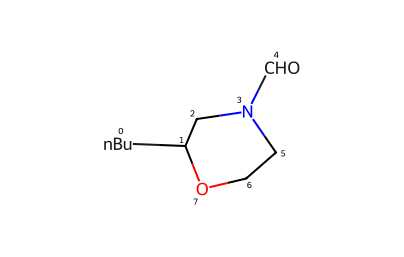 [CH2]CCCC1CN(C=O)CCO1